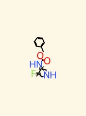 O=C(N[C@@H]1CNC[C@H]1F)OCc1ccccc1